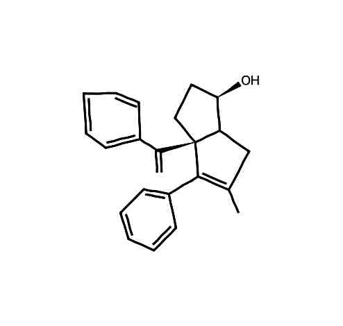 C=C(c1ccccc1)[C@@]12CC[C@@H](O)C1CC(C)=C2c1ccccc1